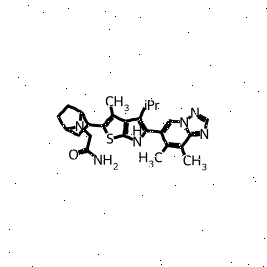 Cc1c(-c2[nH]c3sc(C4CC5CCC4N5CC(N)=O)c(C)c3c2C(C)C)cn2ncnc2c1C